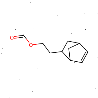 O=COCCC1CC2C=CC1C2